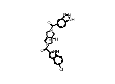 O=C(c1cc2cc(Cl)ccc2[nH]1)N1C=C2CN(C(=O)c3ccc4[nH]nnc4c3)C[C@@H]2C1